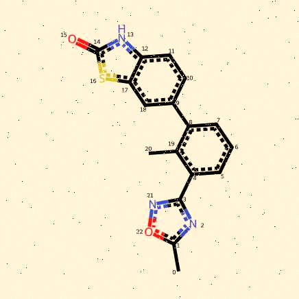 Cc1nc(-c2cccc(-c3ccc4[nH]c(=O)sc4c3)c2C)no1